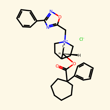 O=C(O[C@H]1C[N+]2(Cc3nc(-c4ccccc4)no3)CCC1CC2)C1(c2ccccc2)CCCCCC1.[Cl-]